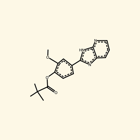 COc1cc(-c2nc3cccnc3[nH]2)ccc1OC(=O)C(C)(C)C